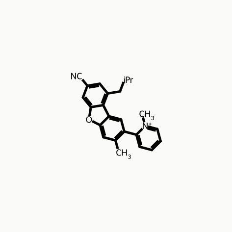 Cc1cc2oc3cc(C#N)cc(CC(C)C)c3c2cc1-c1cccc[n+]1C